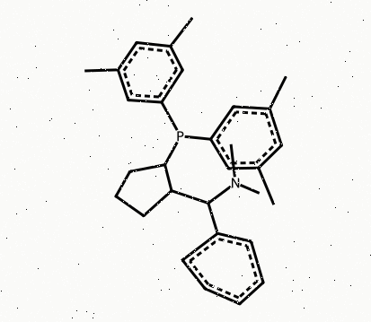 Cc1cc(C)cc(P(c2cc(C)cc(C)c2)C2CCCC2C(c2ccccc2)N(C)C)c1